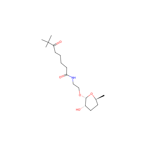 C[C@H]1CC[C@H](O)[C@H](OCCNC(=O)CCCCC(=O)C(C)(C)C)O1